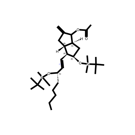 C=C1C[C@H]2[C@H](/C=C/[C@H](CCCCC)O[Si](C)(C)C(C)(C)C)[C@H](O[Si](C)(C)C(C)(C)C)C[C@@H]2C1OC(C)=O